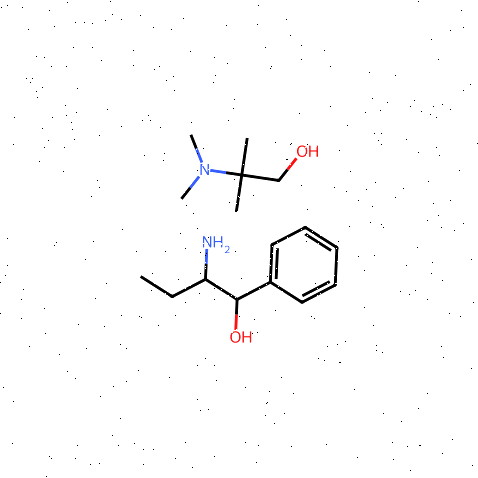 CCC(N)C(O)c1ccccc1.CN(C)C(C)(C)CO